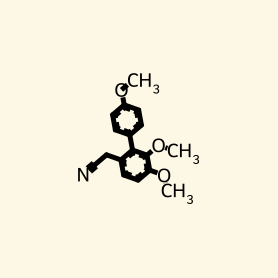 COc1ccc(-c2c(CC#N)ccc(OC)c2OC)cc1